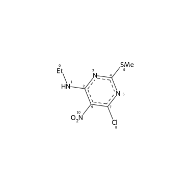 CCNc1nc(SC)nc(Cl)c1[N+](=O)[O-]